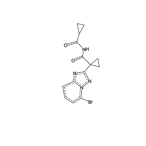 O=C(NC(=O)C1(c2nc3cccc(Br)n3n2)CC1)C1CC1